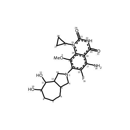 COc1c(N2CC3CCCC(O)C(O)C3C2)c(F)c(N)c2c(=O)[nH]c(=O)n(C3CC3)c12